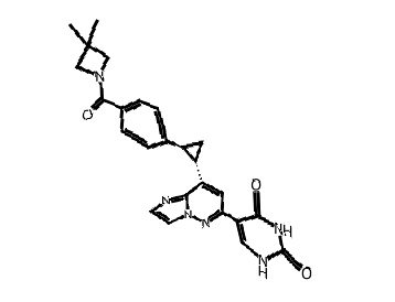 CC1(C)CN(C(=O)c2ccc([C@H]3C[C@@H]3c3cc(-c4c[nH]c(=O)[nH]c4=O)nn4ccnc34)cc2)C1